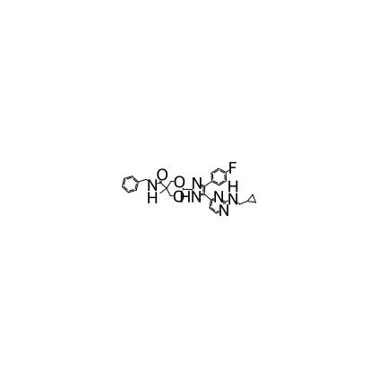 CC1(C(=O)NCc2ccccc2)COC(c2nc(-c3ccc(F)cc3)c(-c3ccnc(NCC4CC4)n3)[nH]2)OC1